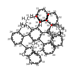 C=C(Oc1ncccc1C)c1cccc(C)c1-c1c(C)c(-c2c(C)cccc2-c2nc3cccnc3o2)c(C)c(-c2c(C)cccc2C(C)Oc2ncccc2NC)c1C